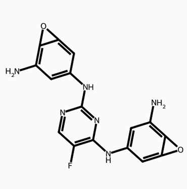 Nc1cc(Nc2ncc(F)c(Nc3cc(N)c4c(c3)O4)n2)cc2c1O2